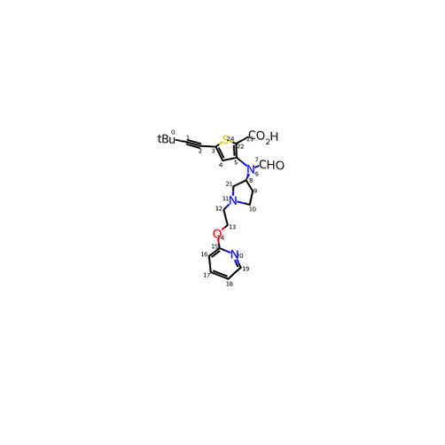 CC(C)(C)C#Cc1cc(N(C=O)[C@H]2CCN(CCOc3ccccn3)C2)c(C(=O)O)s1